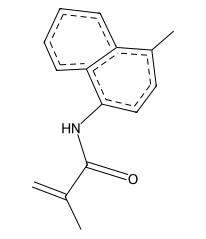 C=C(C)C(=O)Nc1ccc(C)c2ccccc12